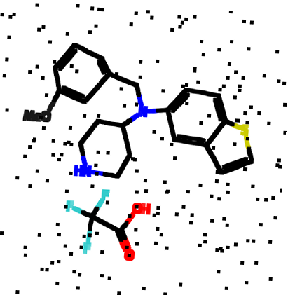 COc1cccc(CN(c2ccc3sccc3c2)C2CCNCC2)c1.O=C(O)C(F)(F)F